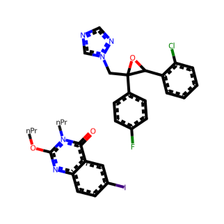 CCCOc1nc2ccc(I)cc2c(=O)n1CCC.Fc1ccc(C2(Cn3cncn3)OC2c2ccccc2Cl)cc1